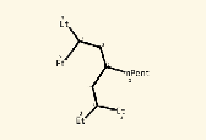 CCCCCC(CC(CC)CC)CC(CC)CC